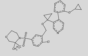 CC1(C)COCCN1S(=O)(=O)c1ccc(Cl)c(COC2(c3cnccc3-c3ccccc3OC3CC3)CC2)c1